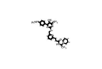 CC(=O)Nc1ccc(-c2nc(SCc3cccc(CCC(=O)NC(C)N4CCCCC4)n3)nc(N)c2C#N)cc1